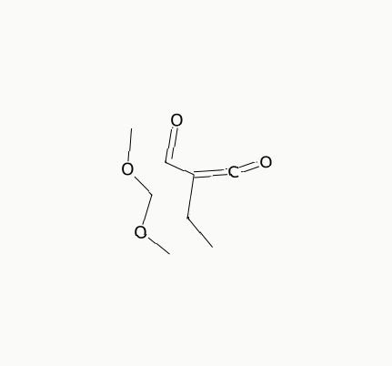 CCC(=C=O)C=O.COCOC